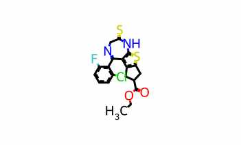 CCOC(=O)C1Cc2sc3c(c2C1)C(c1c(F)cccc1Cl)=NCC(=S)N3